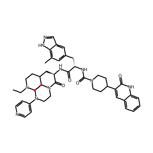 CCN1CCC(C[C@@H](NC(=O)[C@H](Cc2cc(C)c3[nH]ncc3c2)NC(=O)N2CCC(c3cc4ccccc4[nH]c3=O)CC2)C(=O)N2CCN(c3ccncc3)CC2)CC1